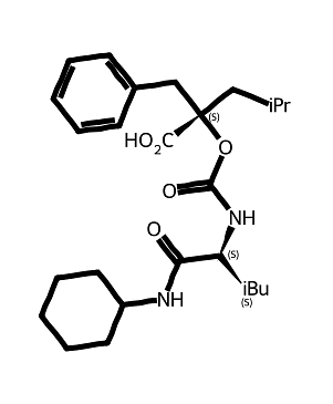 CC[C@H](C)[C@H](NC(=O)O[C@](Cc1ccccc1)(CC(C)C)C(=O)O)C(=O)NC1CCCCC1